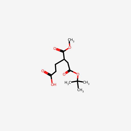 COC(=O)C(CCC(=O)O)CC(=O)OC(C)(C)C